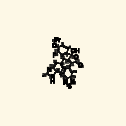 CC(C)Oc1ccc(C2(O)OC(=O)C(c3ccc4nsnc4c3)=C2Cc2ccc3[nH]cnc3c2)cc1F